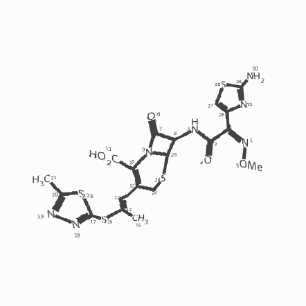 CO/N=C(\C(=O)NC1C(=O)N2C(C(=O)O)=C(/C=C(\C)Sc3nnc(C)s3)CSC12)c1csc(N)n1